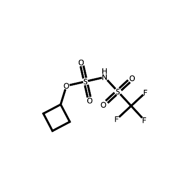 O=S(=O)(NS(=O)(=O)C(F)(F)F)OC1CCC1